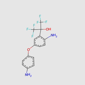 Nc1ccc(Oc2ccc(N)c(C(O)(C(F)(F)F)C(F)(F)F)c2)cc1